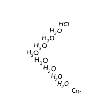 Cl.O.O.O.O.O.O.O.O.[Co]